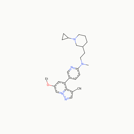 CCOc1cc(-c2ccc(N(C)CCC3CCCN(C4CC4)C3)nc2)c2c(C#N)cnn2c1